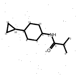 CC(C)C(=O)NC1CCC(C2CC2)CC1